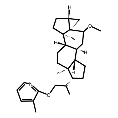 COC1C[C@H]2[C@@H]3CC[C@H](C(C)COc4ncccc4C)[C@@]3(C)CC[C@@H]2[C@@]2(C)CC[C@@H]3C[C@@]132